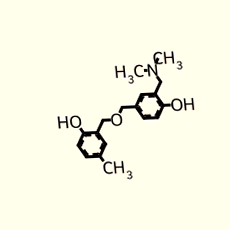 Cc1ccc(O)c(COCc2ccc(O)c(CN(C)C)c2)c1